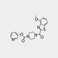 COc1cccc2sc(C(=O)N3CCN(C(=O)Oc4cccnc4)CC3)nc12